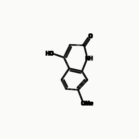 COc1ccc2c(O)cc(=O)[nH]c2c1